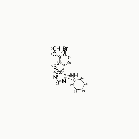 COc1c(Br)ccc2c1sc1ncnc(NC3CCCCC3)c12